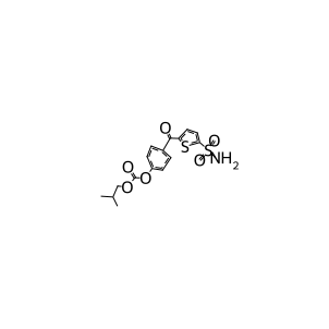 CC(C)COC(=O)Oc1ccc(C(=O)c2ccc(S(N)(=O)=O)s2)cc1